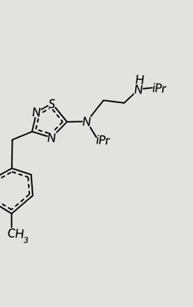 Cc1ccc(Cc2nsc(N(CCNC(C)C)C(C)C)n2)cc1